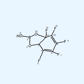 OB1OC2C(F)=C(F)C(F)=C(F)C2(F)O1